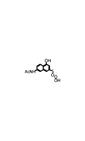 CC(=O)Nc1ccc2c(O)cc(SOOO)cc2c1